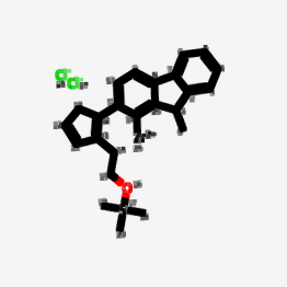 CC1c2ccccc2-c2ccc(C3=C(CCO[Si](C)(C)C)C=CC3)[c]([Zr+2])c21.[Cl-].[Cl-]